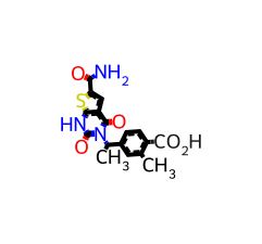 Cc1cc(C(C)n2c(=O)[nH]c3sc(C(N)=O)cc3c2=O)ccc1C(=O)O